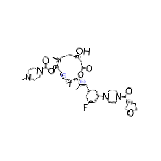 C/C(=C\c1cc(F)cc(N2CCN(C(=O)[C@@H]3CCOC3)CC2)c1)[C@H]1OC(=O)C[C@H](O)CC[C@H](C)[C@@H](OC(=O)N2CCN(C)CC2)/C=C/[C@@H]1C